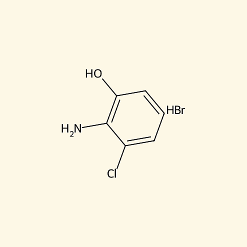 Br.Nc1c(O)cccc1Cl